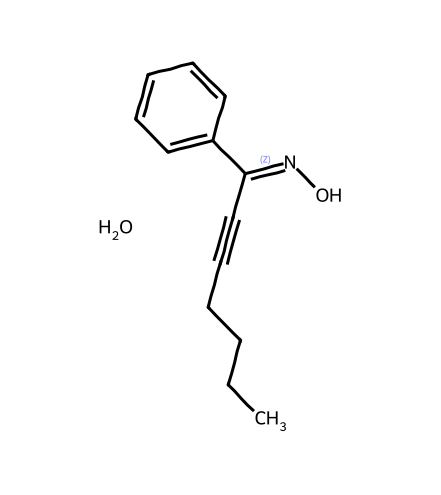 CCCCC#C/C(=N\O)c1ccccc1.O